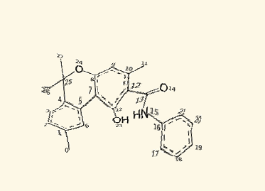 Cc1ccc2c(c1)-c1c(cc(C)c(C(=O)Nc3ccccc3)c1O)OC2(C)C